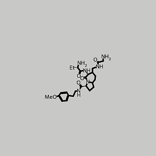 CC[C@H](N)C(=O)N[C@@H]1C(=O)N2C(CCC1CNC(=O)CN)CC[C@H]2C(=O)NCCc1ccc(OC)cc1